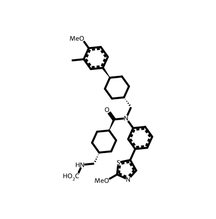 COc1ncc(-c2cccc(N(C[C@H]3CC[C@H](c4ccc(OC)c(C)c4)CC3)C(=O)[C@H]3CC[C@H](CNC(=O)O)CC3)c2)s1